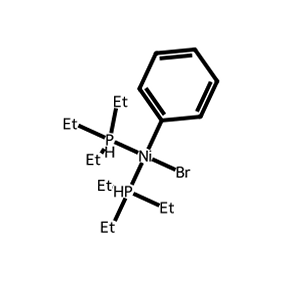 CC[PH](CC)(CC)[Ni]([Br])([c]1ccccc1)[PH](CC)(CC)CC